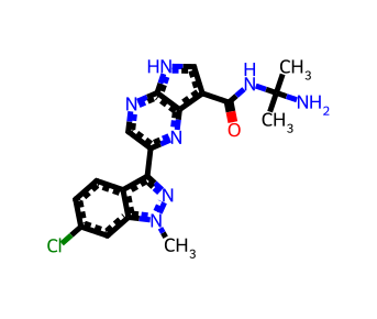 Cn1nc(-c2cnc3[nH]cc(C(=O)NC(C)(C)N)c3n2)c2ccc(Cl)cc21